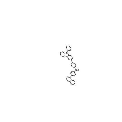 c1ccc(-n2c3ccccc3c3cc(-c4ccc(Nc5ccc(-c6cccc7ccccc67)cc5)cc4)ccc32)cc1